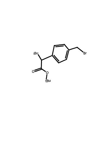 CCC(C)C(C(=O)OC(C)(C)C)c1ccc(CBr)cc1